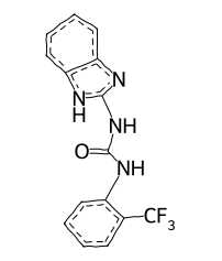 O=C(Nc1nc2ccccc2[nH]1)Nc1ccccc1C(F)(F)F